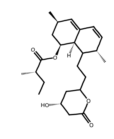 CC[C@H](C)C(=O)O[C@H]1C[C@@H](C)C=C2C=C[C@H](C)C(CCC3C[C@@H](O)CC(=O)O3)[C@H]21